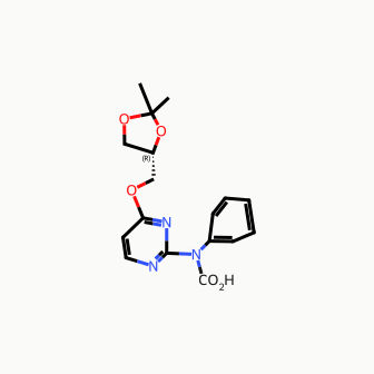 CC1(C)OC[C@@H](COc2ccnc(N(C(=O)O)c3ccccc3)n2)O1